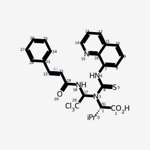 CC(C)[C@@H](C(=O)O)N(C(=S)Nc1cccc2cccnc12)C(NC(=O)/C=C/c1ccccc1)C(Cl)(Cl)Cl